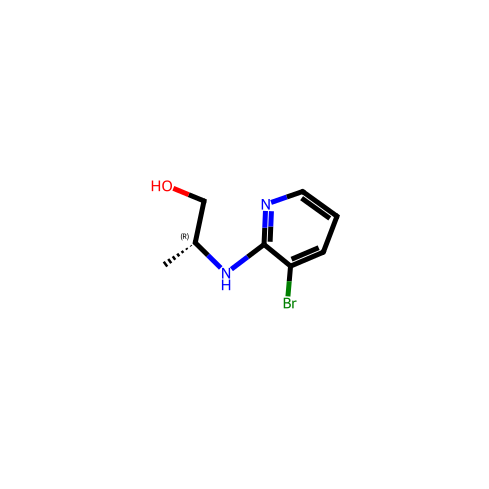 C[C@H](CO)Nc1ncccc1Br